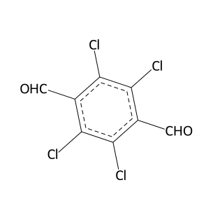 O=Cc1c(Cl)c(Cl)c(C=O)c(Cl)c1Cl